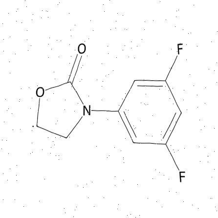 O=C1O[CH]CN1c1cc(F)cc(F)c1